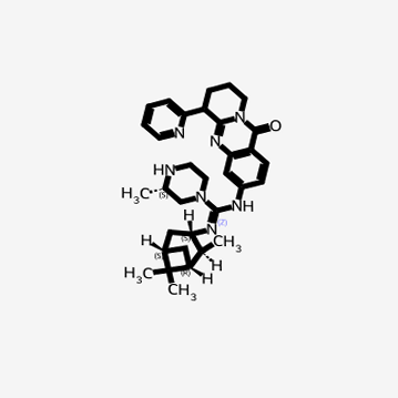 C[C@@H]1[C@@H](/N=C(/Nc2ccc3c(=O)n4c(nc3c2)C(c2ccccn2)CCC4)N2CCN[C@@H](C)C2)C[C@@H]2C[C@H]1C2(C)C